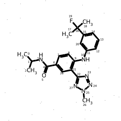 CC(C)NC(=O)c1ccc(Nc2cccc(C(C)(C)F)c2)c(-c2nnn(C)n2)c1